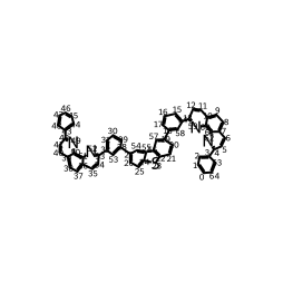 c1ccc(-c2ccc3ccc4ccc(-c5cccc(-c6ccc7sc8ccc(-c9cccc(-c%10ccc%11ccc%12ccc(-c%13ccccc%13)nc%12c%11n%10)c9)cc8c7c6)c5)nc4c3n2)cc1